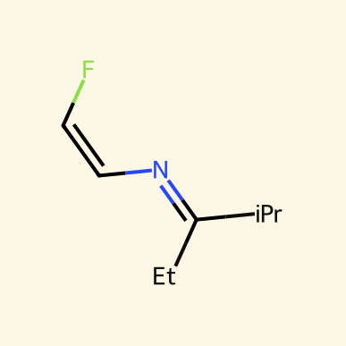 CC/C(=N\C=C/F)C(C)C